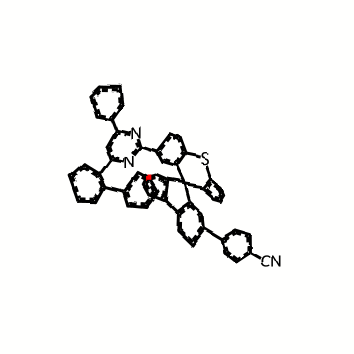 N#Cc1ccc(-c2ccc3c(c2)C2(c4ccccc4Sc4ccc(-c5nc(-c6ccccc6)cc(-c6ccccc6-c6ccccc6)n5)cc42)c2ccccc2-3)cc1